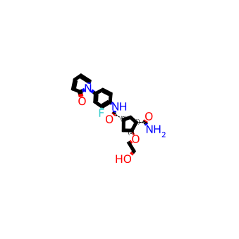 NC(=O)[C@H]1C[C@@H](C(=O)Nc2ccc(-n3ccccc3=O)cc2F)C[C@@H]1OCCO